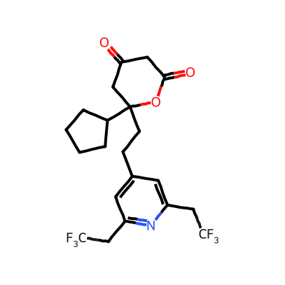 O=C1CC(=O)OC(CCc2cc(CC(F)(F)F)nc(CC(F)(F)F)c2)(C2CCCC2)C1